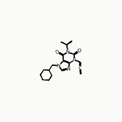 C=C=Cn1c(=O)n(C(C)C)c(=O)c2c1ncn2CC1CCCCC1